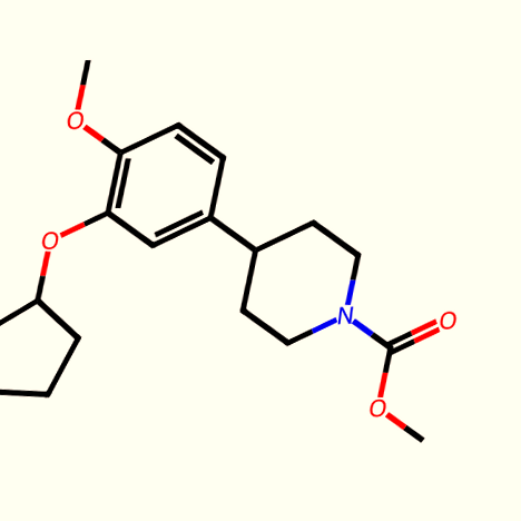 COC(=O)N1CCC(c2ccc(OC)c(OC3CCCC3)c2)CC1